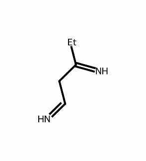 CCC(=N)CC=N